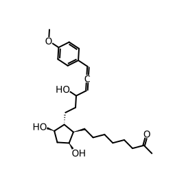 COc1ccc(C=C=CC(O)CC[C@@H]2[C@@H](CCCCCCC(C)=O)[C@@H](O)C[C@H]2O)cc1